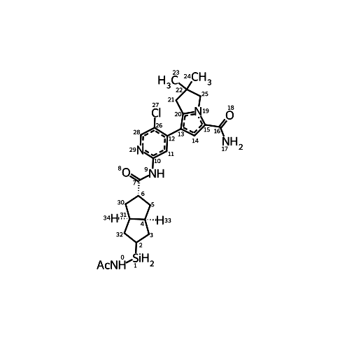 CC(=O)N[SiH2]C1C[C@@H]2C[C@@H](C(=O)Nc3cc(-c4cc(C(N)=O)n5c4CC(C)(C)C5)c(Cl)cn3)C[C@@H]2C1